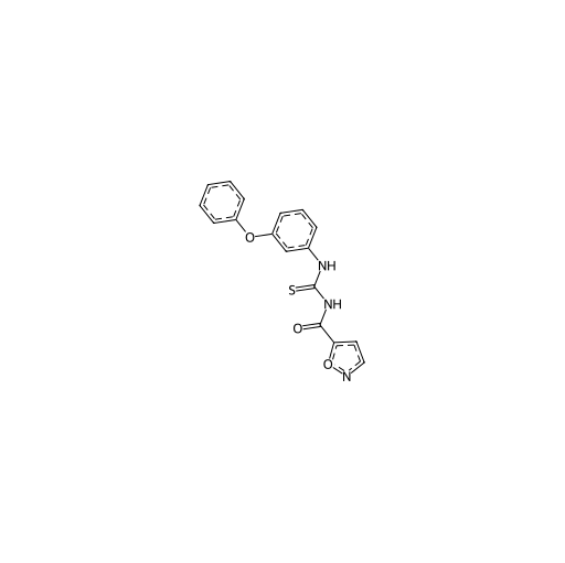 O=C(NC(=S)Nc1cccc(Oc2ccccc2)c1)c1ccno1